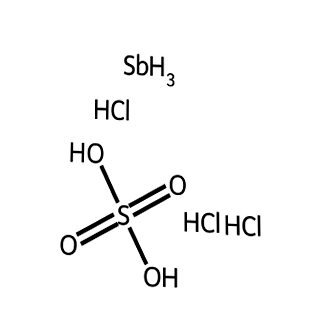 Cl.Cl.Cl.O=S(=O)(O)O.[SbH3]